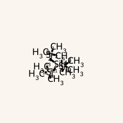 C[Si](C)(C)C[SiH](C[Si](C)(C)C)C[Si](C)(C)C